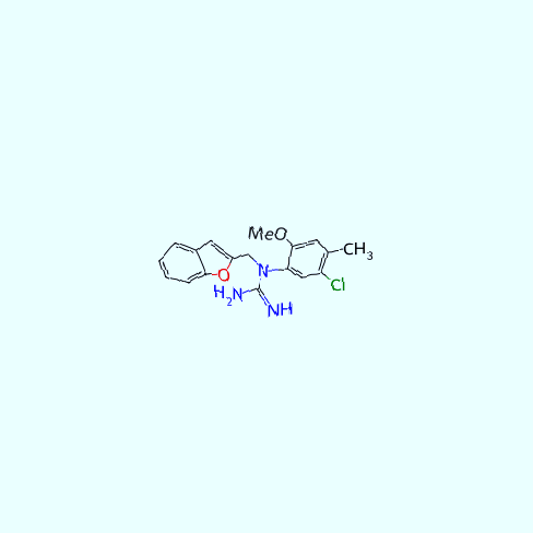 COc1cc(C)c(Cl)cc1N(Cc1cc2ccccc2o1)C(=N)N